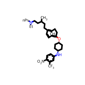 CCCN(CC)CCC(C)CCC1=C(/C)CC/C(O[C@H]2CC[C@H](Nc3ccc([N+](=O)[O-])c(C(F)(F)F)c3)CC2)=C/C=C\1